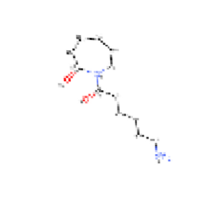 NCCCCCC(=O)N1CCCCCC1=O